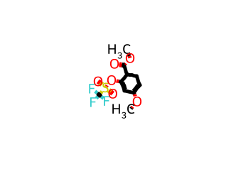 COC(=O)C1CC=C(OC)C=C1OS(=O)(=O)C(F)(F)F